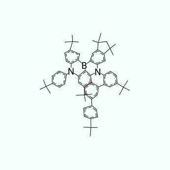 CC(C)(C)c1ccc(-c2cccc(-c3cc(C(C)(C)C)ccc3N3c4cc5c(cc4B4c6cc(C(C)(C)C)ccc6N(c6ccc(C(C)(C)C)cc6)c6cc(C(C)(C)C)cc3c64)C(C)(C)CC5(C)C)c2)cc1